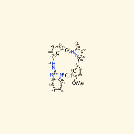 COc1ccc2cc1Cn1c(nc3ccccc31)NCc1cccc(c1)Cn1nc-2ccc1=O